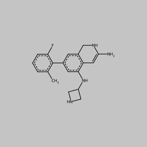 Cc1cccc(F)c1-c1cc2c(c(NC3CNC3)c1)C=C(N)NC2